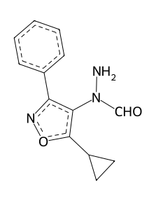 NN(C=O)c1c(-c2ccccc2)noc1C1CC1